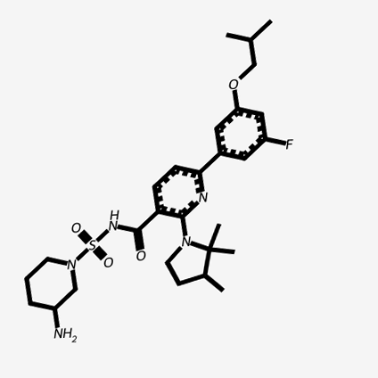 CC(C)COc1cc(F)cc(-c2ccc(C(=O)NS(=O)(=O)N3CCCC(N)C3)c(N3CCC(C)C3(C)C)n2)c1